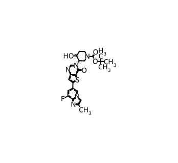 Cc1cn2cc(-c3cc4ncn([C@@H]5CN(C(=O)OC(C)(C)C)CC[C@H]5O)c(=O)c4s3)cc(F)c2n1